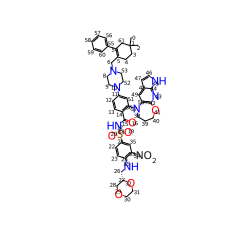 CC1(C)CCC(CN2CCN(c3ccc(C(=O)NS(=O)(=O)c4ccc(NC[C@H]5COCCO5)c([N+](=O)[O-])c4)c(N4CCCOc5nc6[nH]ccc6cc54)c3)CC2)=C(c2ccccc2)C1